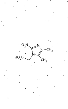 Cc1nc([N+](=O)[O-])n(CC(=O)O)c1C